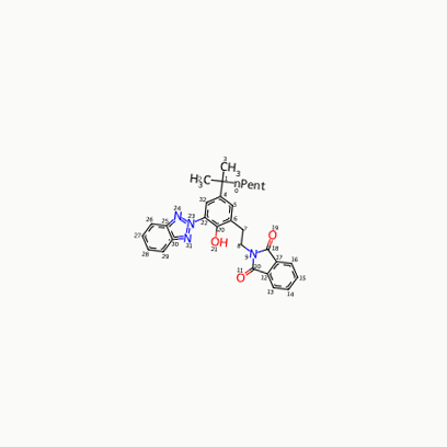 CCCCCC(C)(C)c1cc(CCN2C(=O)c3ccccc3C2=O)c(O)c(-n2nc3ccccc3n2)c1